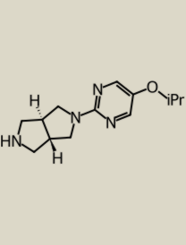 CC(C)Oc1cnc(N2C[C@@H]3CNC[C@H]3C2)nc1